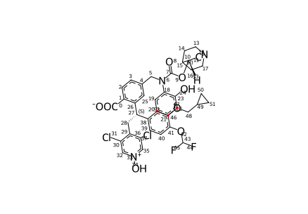 O=C([O-])c1ccc(CN(C(=O)O[C@H]2CN3CCC2CC3)c2ccccc2O)cc1[C@@H](Cc1c(Cl)c[n+](O)cc1Cl)c1ccc(OC(F)F)c(OCC2CC2)c1